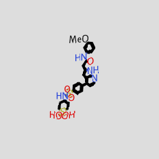 COc1cccc(NC(=O)Cc2cc3c(-c4ccc(S(=O)(=O)NC5CCS(O)(O)CC5)cc4)ccnc3[nH]2)c1